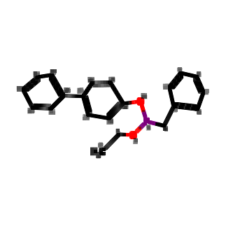 CCOP(Cc1ccccc1)Oc1ccc(-c2ccccc2)cc1